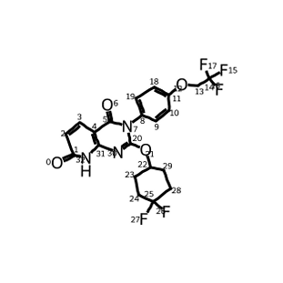 O=c1ccc2c(=O)n(-c3ccc(OCC(F)(F)F)cc3)c(OC3CCC(F)(F)CC3)nc2[nH]1